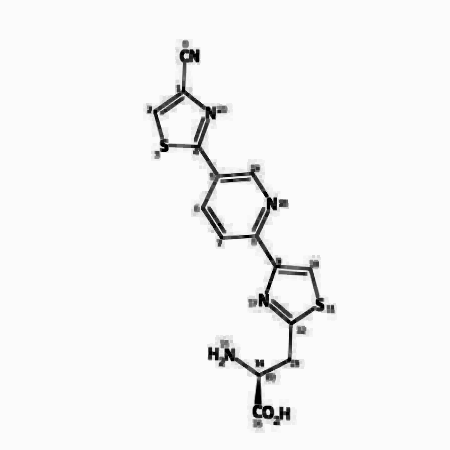 N#Cc1csc(-c2ccc(-c3csc(C[C@H](N)C(=O)O)n3)nc2)n1